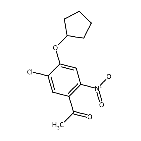 CC(=O)c1cc(Cl)c(OC2CCCC2)cc1[N+](=O)[O-]